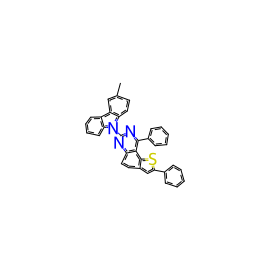 Cc1ccc2c(c1)c1ccccc1n2-c1nc(-c2ccccc2)c2c(ccc3cc(-c4ccccc4)sc32)n1